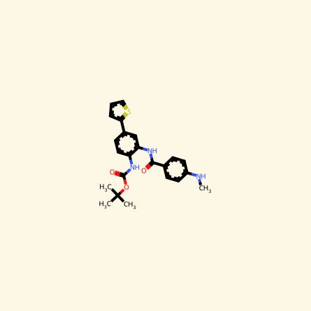 CNc1ccc(C(=O)Nc2cc(-c3cccs3)ccc2NC(=O)OC(C)(C)C)cc1